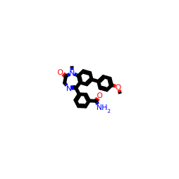 COc1ccc(-c2ccc3c(c2)C(c2cccc(C(N)=O)c2)=NCC(=O)N3C)cc1